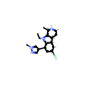 CCn1c2c(-c3cnn(C)c3)cc(Cl)cc2c2ccnc(C)c21